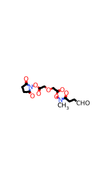 CN(OC(=O)COCC(=O)ON1C(=O)CCC1=O)C(=O)CCC=O